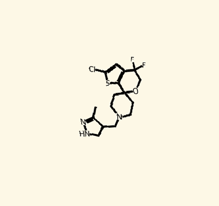 CC1=NNCC1CN1CCC2(CC1)OCC(F)(F)c1cc(Cl)sc12